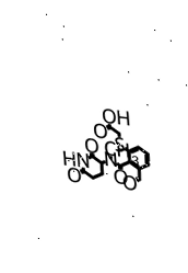 CN(C(=O)c1c(C=O)cccc1SCC(=O)O)C1CCC(=O)NC1=O